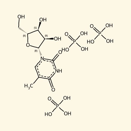 Cc1cn([C@@H]2O[C@H](CO)[C@@H](O)[C@H]2O)c(=O)[nH]c1=O.O=P(O)(O)O.O=P(O)(O)O.O=P(O)(O)O